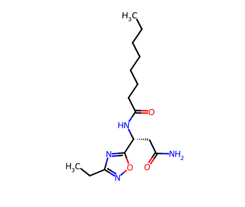 CCCCCCCC(=O)N[C@H](CC(N)=O)c1nc(CC)no1